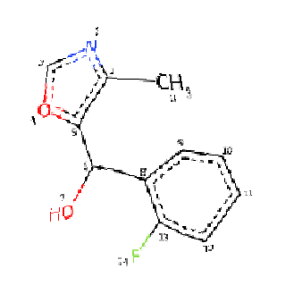 Cc1ncoc1C(O)c1ccccc1F